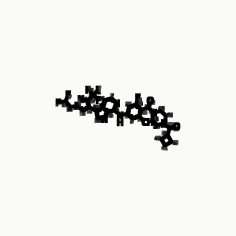 Cc1cc(Nc2nccn3c(-c4cn(CC(F)F)nc4C(F)(F)F)cnc23)cc(F)c1C(=O)N1CCN(C(=O)C2CCC2)CC1